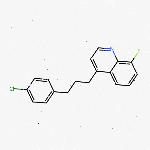 Fc1cccc2c(CCCc3ccc(Cl)cc3)ccnc12